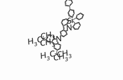 CC(C)(C)c1ccc2c(c1)c1cc(C(C)(C)C)ccc1n2-c1ccc2c(c1)c1cccc3c1n2-c1ccccc1[Si]3(c1ccccc1)c1ccc(-c2ccccc2)cc1